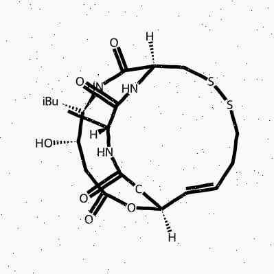 CC[C@@H](C)[C@H]1NC(=O)[C@H]2CSSCC/C=C/[C@H](CC(=O)N[C@H](C)C(=O)N2)OC(=O)C[C@@H]1O